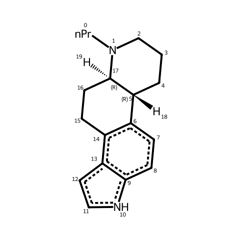 CCCN1CCC[C@@H]2c3ccc4[nH]ccc4c3CC[C@H]21